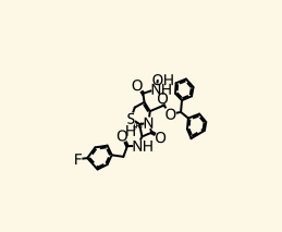 O=C(Cc1ccc(F)cc1)NC1C(=O)N2C(C(=O)OC(c3ccccc3)c3ccccc3)=C(C(=O)NO)CS[C@H]12